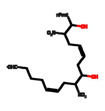 CCCCCC(O)C(C/C=C\CC(O)C(C/C=C\CCC[C]=O)[N+](=O)[O-])[N+](=O)[O-]